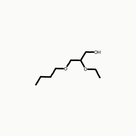 CCCCOCC(CO)OCC